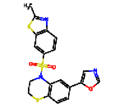 Cc1nc2ccc(S(=O)(=O)N3CCSc4ccc(-c5cnco5)cc43)cc2s1